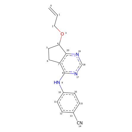 C=CCOC1CCc2c(Nc3ccc(C#N)cc3)ncnc21